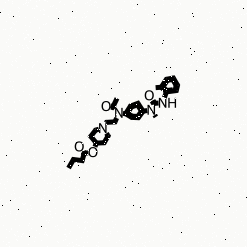 CCCC(=O)OC1CCN(CCN(C(C)=O)c2ccc(N(C)C(=O)Nc3ccccc3C)cc2)CC1